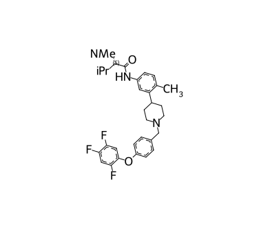 CN[C@H](C(=O)Nc1ccc(C)c(C2CCN(Cc3ccc(Oc4cc(F)c(F)cc4F)cc3)CC2)c1)C(C)C